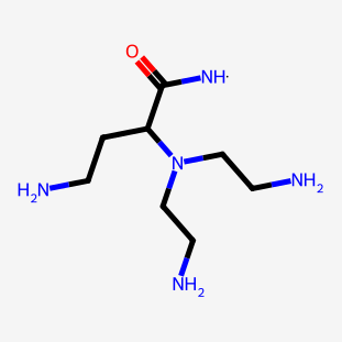 [NH]C(=O)C(CCN)N(CCN)CCN